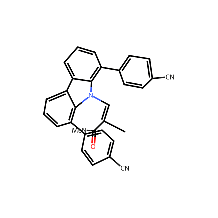 CNC(=O)/C(C)=C\n1c2c(-c3ccc(C#N)cc3)cccc2c2cccc(-c3ccc(C#N)cc3)c21